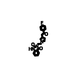 O=C(CC1CCN(CCn2c(=O)[nH]c3ccccc3c2=O)C1)c1ccc(F)cc1